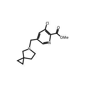 COC(=O)c1ncc(CN2CCC3(CC3)C2)cc1Cl